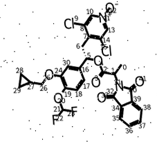 CC(C(=O)O[C@@H](Cc1c(Cl)c[n+]([O-])cc1Cl)c1ccc(OC(F)F)c(OCC2CC2)c1)N1C(=O)c2ccccc2C1=O